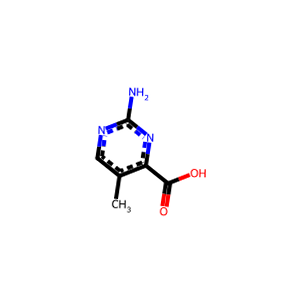 Cc1cnc(N)nc1C(=O)O